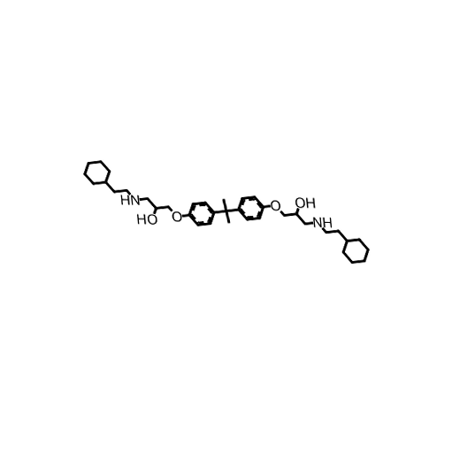 CC(C)(c1ccc(OCC(O)CNCCC2CCCCC2)cc1)c1ccc(OCC(O)CNCCC2CCCCC2)cc1